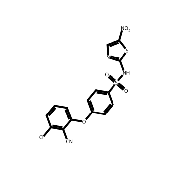 N#Cc1c(Cl)cccc1Oc1ccc(S(=O)(=O)Nc2ncc([N+](=O)[O-])s2)cc1